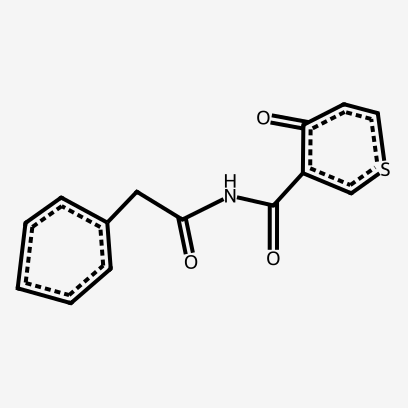 O=C(Cc1ccccc1)NC(=O)c1csccc1=O